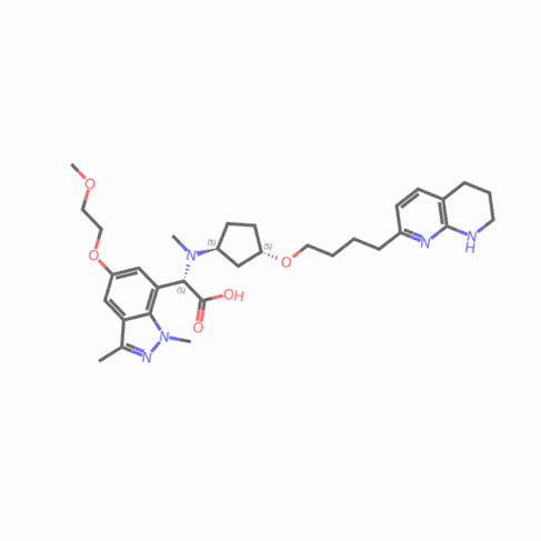 COCCOc1cc([C@@H](C(=O)O)N(C)[C@H]2CC[C@H](OCCCCc3ccc4c(n3)NCCC4)C2)c2c(c1)c(C)nn2C